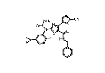 Cc1ccc(C2CC2)cc1N(C(N)=O)c1nc(-c2ccc(C#N)s2)c(C(=O)NCc2ccccc2)s1